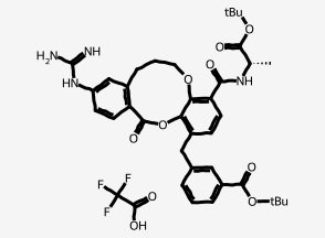 C[C@H](NC(=O)c1ccc(Cc2cccc(C(=O)OC(C)(C)C)c2)c2c1OCCCc1cc(NC(=N)N)ccc1C(=O)O2)C(=O)OC(C)(C)C.O=C(O)C(F)(F)F